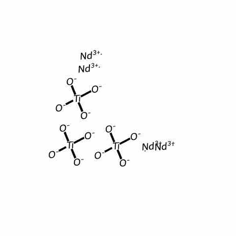 [Nd+3].[Nd+3].[Nd+3].[Nd+3].[O-][Ti]([O-])([O-])[O-].[O-][Ti]([O-])([O-])[O-].[O-][Ti]([O-])([O-])[O-]